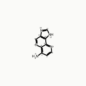 Nc1ccnc2c1ncc1nc[nH]c12